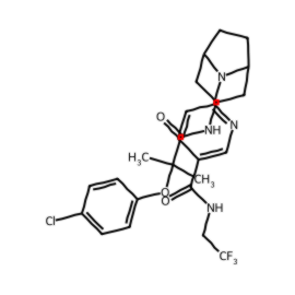 CC(C)(Oc1ccc(Cl)cc1)C(=O)NC1CC2CCC(C1)N2c1ccc(C(=O)NCC(F)(F)F)cn1